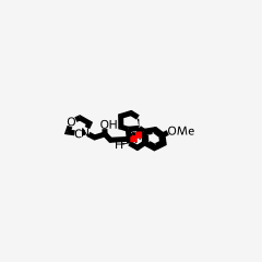 COc1ccc2c(c1)[C@]13CCCC[C@@H]1[C@H](C2)N(CC(O)CN1CCOCC1)CC3